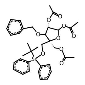 CC(=O)OC[C@@]1(CO[Si](c2ccccc2)(c2ccccc2)C(C)(C)C)OC(OC(C)=O)[C@@H](OC(C)=O)C1OCc1ccccc1